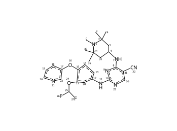 CN1C(C)(C)CC(Nc2nc(Nc3ccc(Oc4cccnc4)c(OC(F)F)c3)ncc2C#N)CC1(C)C